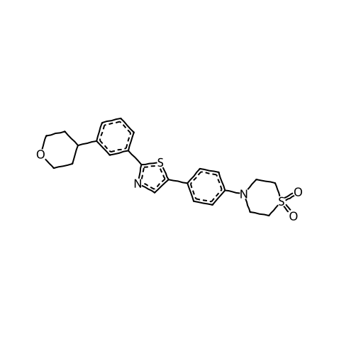 O=S1(=O)CCN(c2ccc(-c3cnc(-c4cccc(C5CCOCC5)c4)s3)cc2)CC1